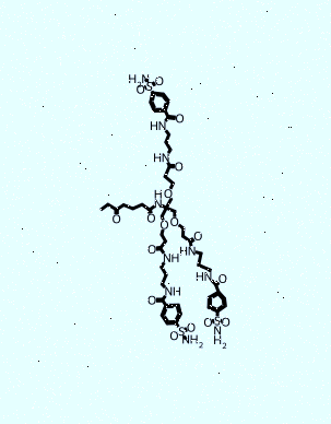 CCC(=O)CCCC(=O)NC(COCCC(=O)NCCCNC(=O)c1ccc(S(N)(=O)=O)cc1)(COCCC(=O)NCCCNC(=O)c1ccc(S(N)(=O)=O)cc1)COCCC(=O)NCCCNC(=O)c1ccc(S(N)(=O)=O)cc1